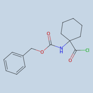 O=C(NC1(C(=O)Cl)CCCCC1)OCc1ccccc1